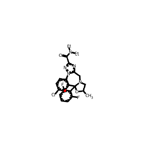 CCN(CC)C(=O)c1nc2n(n1)-c1ccc(Cl)cc1C1(c3c(F)cccc3F)OC(C)CN1C2